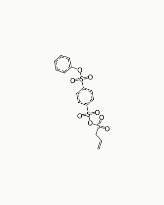 C=CCS(=O)(=O)OS(=O)(=O)c1ccc(S(=O)(=O)Oc2ccccc2)cc1